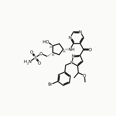 COC(C)c1cc(C(=O)c2cncnc2N[C@@H]2C[C@H](COS(N)(=O)=O)[C@@H](O)C2)nn1Cc1cccc(Br)c1